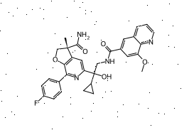 COc1cc(C(=O)NCC(O)(c2cc3c(c(-c4ccc(F)cc4)n2)OC[C@]3(C)C(N)=O)C2CC2)cc2cccnc12